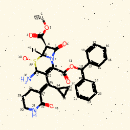 CC(C)(C)OC(=O)[C@H]1C(=O)N2C(C(=O)OC(c3ccccc3)c3ccccc3)=C(C(=C3CCCNC3=O)C3CC3)C(N)[S@+]([O-])[C@H]12